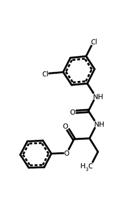 CCC(NC(=O)Nc1cc(Cl)cc(Cl)c1)C(=O)Oc1ccccc1